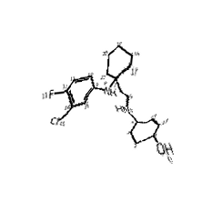 OC1CCC(NCC2(Nc3ccc(F)c(Cl)c3)C[CH]CCC2)CC1